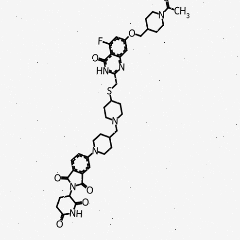 CC(=O)N1CCC(COc2cc(F)c3c(=O)[nH]c(CSC4CCN(CC5CCN(c6ccc7c(c6)C(=O)N(C6CCC(=O)NC6=O)C7=O)CC5)CC4)nc3c2)CC1